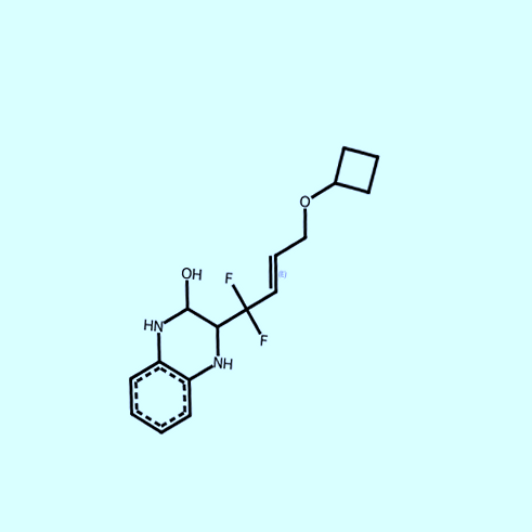 OC1Nc2ccccc2NC1C(F)(F)/C=C/COC1CCC1